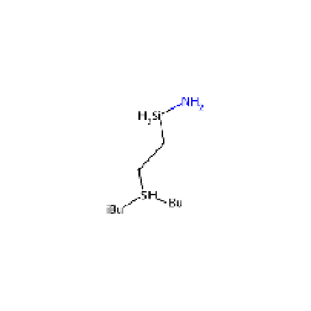 CCC(C)[SiH](CC[SiH2]N)C(C)CC